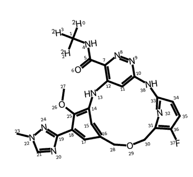 [2H]C([2H])([2H])NC(=O)c1nnc2cc1Nc1cc(cc(-c3ncn(C)n3)c1OC)COCc1nc(ccc1F)N2